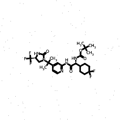 CC(C)(C)OC(=O)N[C@H](C(=O)Nc1cc(C(C)(C)N2C[C@@H](C(F)(F)F)NC2=O)ccn1)C1CCC(F)(F)CC1